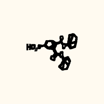 O=C(OC1C2CC3CC(C2)CC1C3)C1C2CC(C1C(=O)OC1C3CC4CC(C3)CC1C4)C(S(=O)(=O)O)C2